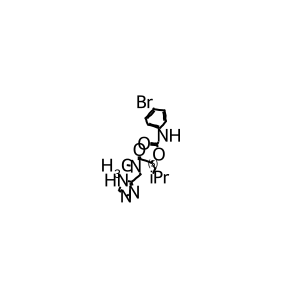 CC(C)C[C@H](OC(=O)Nc1ccc(Br)cc1)C(=O)N(C)Cc1nnc[nH]1